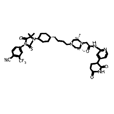 C[C@@H]1CN(CCCC[C@H]2CC[C@H](N3C(=S)N(c4ccc(C#N)c(C(F)(F)F)c4)C(=O)C3(C)C)CC2)C[C@H](C)N1CC(=O)Nc1cc(C2CCC(=O)NC2=O)ccn1